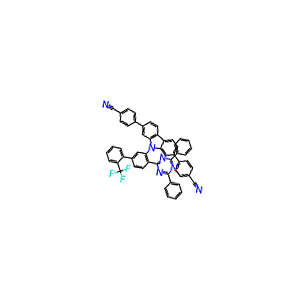 N#Cc1ccc(-c2ccc3c4ccc(-c5ccc(C#N)cc5)cc4n(-c4cc(-c5ccccc5C(F)(F)F)ccc4-c4nc(-c5ccccc5)nc(-c5ccccc5)n4)c3c2)cc1